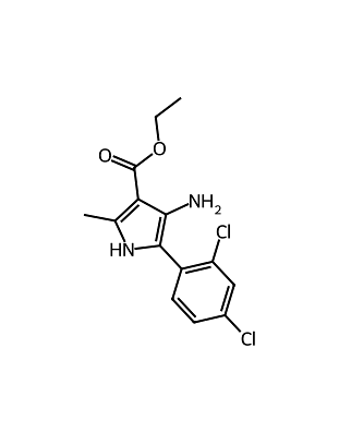 CCOC(=O)c1c(C)[nH]c(-c2ccc(Cl)cc2Cl)c1N